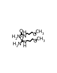 COCCCNC(N)=O.COCCCNC(N)=O